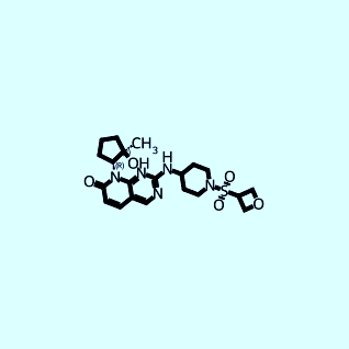 C[C@@]1(O)CCC[C@H]1n1c(=O)ccc2cnc(NC3CCN(S(=O)(=O)C4COC4)CC3)nc21